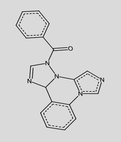 O=C(c1ccccc1)N1C=NC2c3ccccc3-n3cncc3N21